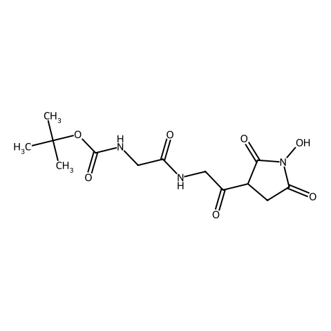 CC(C)(C)OC(=O)NCC(=O)NCC(=O)C1CC(=O)N(O)C1=O